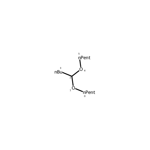 CCCCCOC(CCCC)OCCCCC